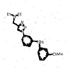 CCN(CC)Cc1cn(-c2cccc(Nc3cccc(OC)c3)c2)nn1